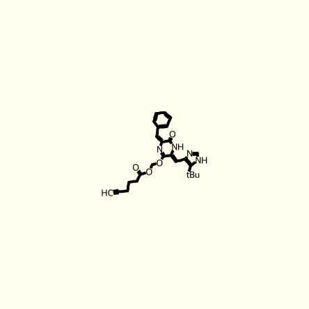 C#CCCCC(=O)OCOc1nc(=Cc2ccccc2)c(=O)[nH]c1=Cc1nc[nH]c1C(C)(C)C